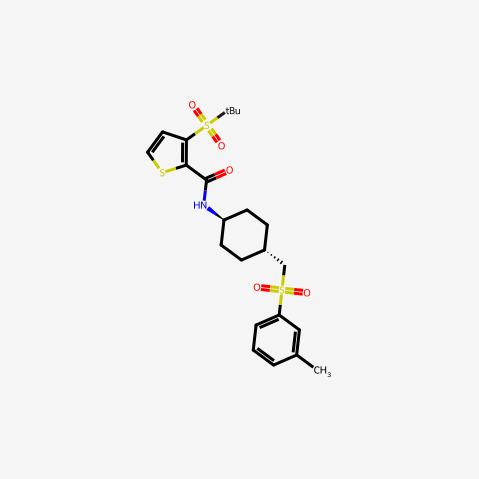 Cc1cccc(S(=O)(=O)C[C@H]2CC[C@H](NC(=O)c3sccc3S(=O)(=O)C(C)(C)C)CC2)c1